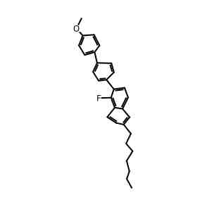 CCCCCCCc1ccc2c(F)c(-c3ccc(-c4ccc(OC)cc4)cc3)ccc2c1